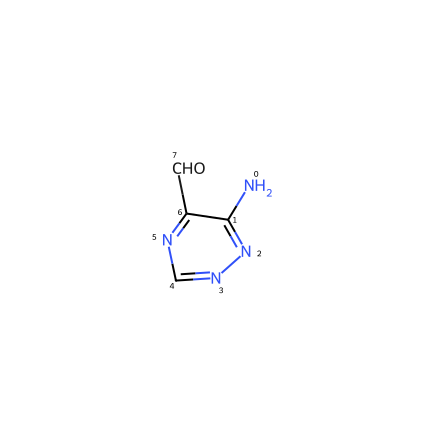 Nc1nncnc1C=O